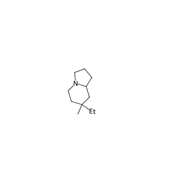 CCC1(C)CCN2CCCC2C1